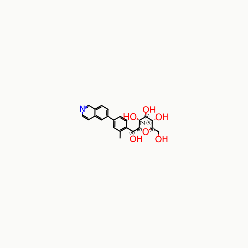 Cc1cc(-c2ccc3cnccc3c2)ccc1[C@@H](O)[C@H]1O[C@H](CO)[C@@H](O)[C@H](O)[C@@H]1O